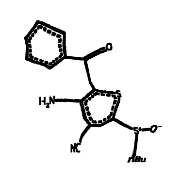 CCCC[S+]([O-])c1sc(C(=O)c2ccccc2)c(N)c1C#N